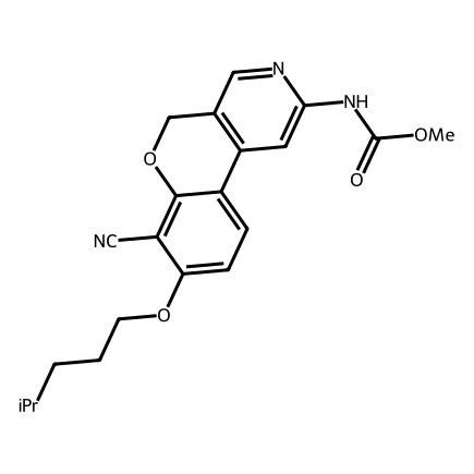 COC(=O)Nc1cc2c(cn1)COc1c-2ccc(OCCCC(C)C)c1C#N